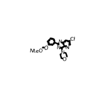 COCOc1cccc(-c2nc(N3CCOCC3)c3ncc(Cl)cc3n2)c1